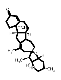 CC1=C2C[C@H]3[C@@H](CCC4=CC(=O)CC[C@@]43C)C2CC[C@@]2(C1)O[C@@H]1C[C@H](C)CN[C@H]1[C@H]2C